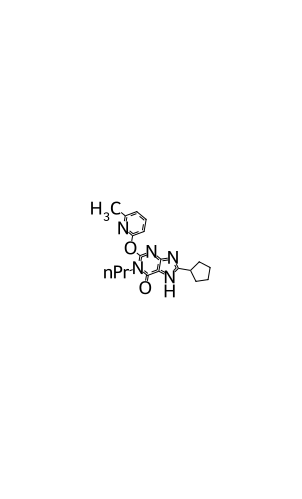 CCCn1c(Oc2cccc(C)n2)nc2nc(C3CCCC3)[nH]c2c1=O